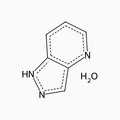 O.c1cnc2cn[nH]c2c1